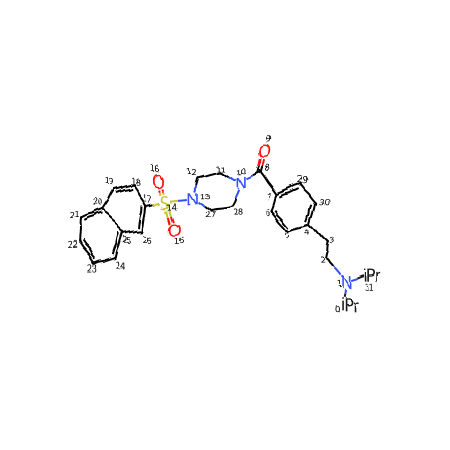 CC(C)N(CCc1ccc(C(=O)N2CCN(S(=O)(=O)c3ccc4ccccc4c3)CC2)cc1)C(C)C